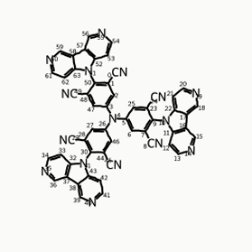 N#Cc1cc(N(c2cc(C#N)c(-n3c4ccncc4c4cnccc43)c(C#N)c2)c2cc(C#N)c(-n3c4ccncc4c4cnccc43)c(C#N)c2)cc(C#N)c1-n1c2ccncc2c2cnccc21